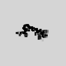 CC(=O)c1cccc(COCC(=O)OC(C)(C)C)n1